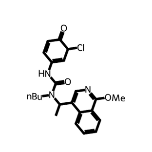 CCCCN(C(=O)NC1=CC(Cl)C(=O)C=C1)C(C)c1cnc(OC)c2ccccc12